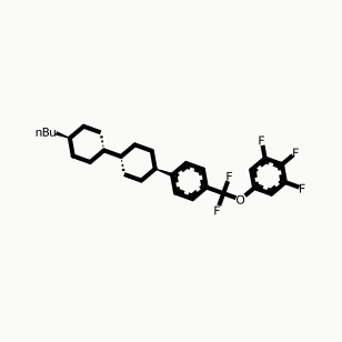 CCCC[C@H]1CC[C@H]([C@H]2CC[C@H](c3ccc(C(F)(F)Oc4cc(F)c(F)c(F)c4)cc3)CC2)CC1